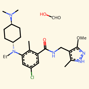 CCN(c1cc(Cl)cc(C(=O)NCc2c(OC)n[nH]c2C)c1C)[C@H]1CC[C@H](N(C)C)CC1.O=CO